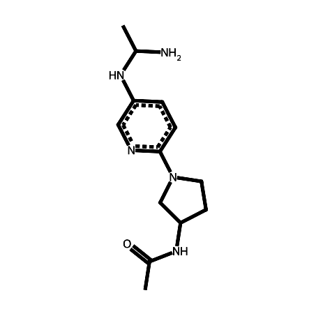 CC(=O)NC1CCN(c2ccc(NC(C)N)cn2)C1